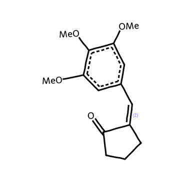 COc1cc(/C=C2/CCCC2=O)cc(OC)c1OC